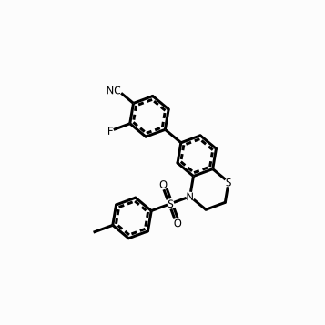 Cc1ccc(S(=O)(=O)N2CCSc3ccc(-c4ccc(C#N)c(F)c4)cc32)cc1